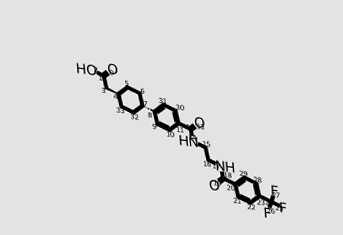 O=C(O)C[C@H]1CC[C@H](c2ccc(C(=O)NCCNC(=O)c3ccc(C(F)(F)F)cc3)cc2)CC1